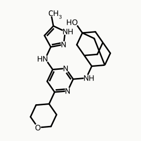 Cc1cc(Nc2cc(C3CCOCC3)nc(NC3C4CC5CC3CC(O)(C5)C4)n2)n[nH]1